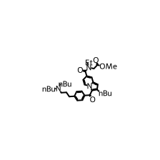 CCCCc1cc2cc(C(=O)N(CC)CC(=O)OC)ccn2c1C(=O)c1ccc(CCCN(CCCC)CCCC)cc1